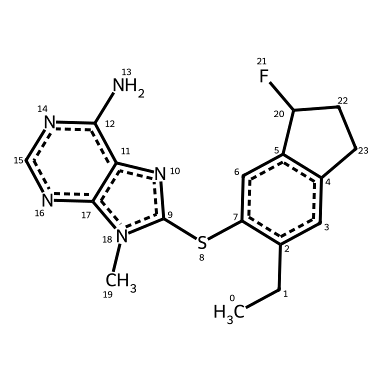 CCc1cc2c(cc1Sc1nc3c(N)ncnc3n1C)C(F)CC2